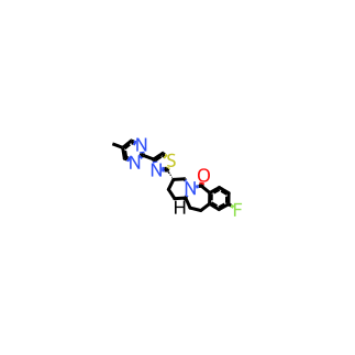 Cc1cnc(-c2csc([C@H]3CC[C@H]4CCc5cc(F)ccc5C(=O)N4C3)n2)nc1